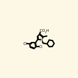 Cc1c(C(=O)O)cc(-c2cc(Cl)ccc2Cl)n1CC1CCCCC1